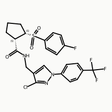 O=C(NCc1cn(-c2ccc(C(F)(F)F)cc2)nc1Cl)[C@@H]1CCC[C@@H]1S(=O)(=O)c1ccc(F)cc1